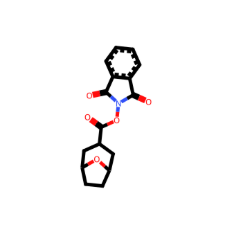 O=C(ON1C(=O)c2ccccc2C1=O)C1CC2CCC(C1)O2